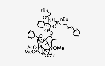 CCCCN(CCSSc1ccccn1)C(=O)OC(C(=O)OC1C[C@@]2(O)[C@@H](OC(=O)c3ccccc3)[C@@H]3[C@@](C)(OC(C)=O)[C@H](OC)C[C@H](OC)[C@@]3(C)C(=O)[C@H](OC)C(=C1C)C2(C)C)[C@@H](NC(=O)OC(C)(C)C)c1ccccc1